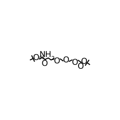 CC(C)(C)OC[C@@H](N)C(=O)CCCOCCOCCOCC(=O)OC(C)(C)C